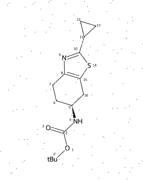 CC(C)(C)OC(=O)N[C@H]1CCc2nc(C3CC3)sc2C1